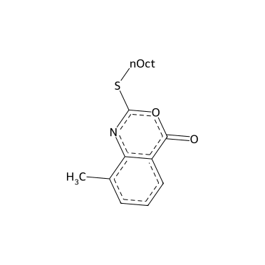 CCCCCCCCSc1nc2c(C)cccc2c(=O)o1